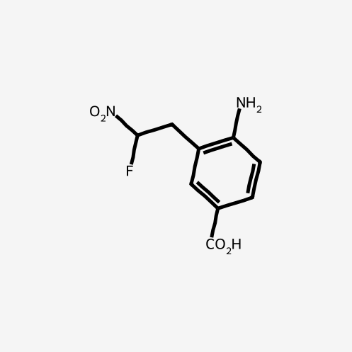 Nc1ccc(C(=O)O)cc1CC(F)[N+](=O)[O-]